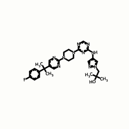 CC(C)(O)Cn1cc(Nc2ncnc(N3CCN(c4ncc(C(C)(C)c5ccc(F)cc5)cn4)CC3)n2)cn1